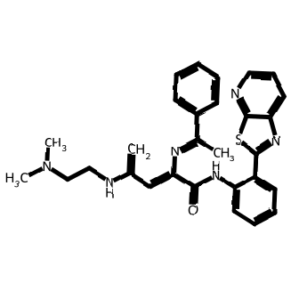 C=C(/C=C(\N=C(/C)c1ccccc1)C(=O)Nc1ccccc1-c1nc2cccnc2s1)NCCN(C)C